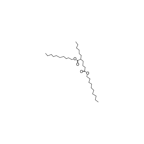 CCCCCCCCCCOC(=O)CCCC(CCCCCC)C(=O)OCCCCCCCCCC